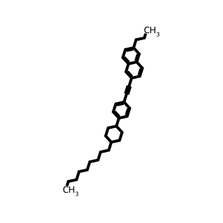 CCCCCCCCCC1CCC(c2ccc(C#Cc3ccc4cc(CCC)ccc4c3)cc2)CC1